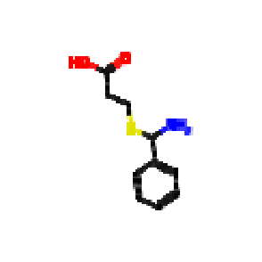 NC(SCCC(=O)O)c1ccccc1